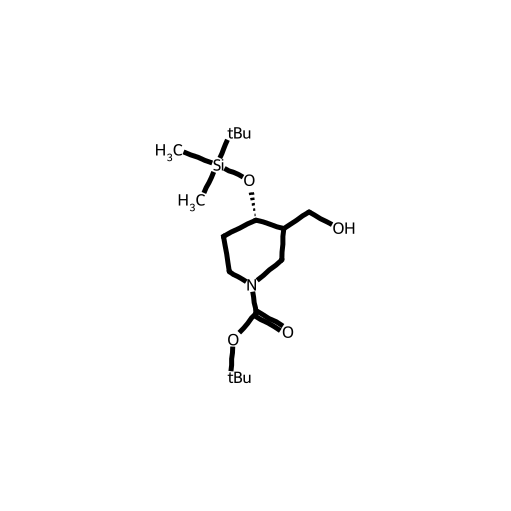 CC(C)(C)OC(=O)N1CC[C@H](O[Si](C)(C)C(C)(C)C)C(CO)C1